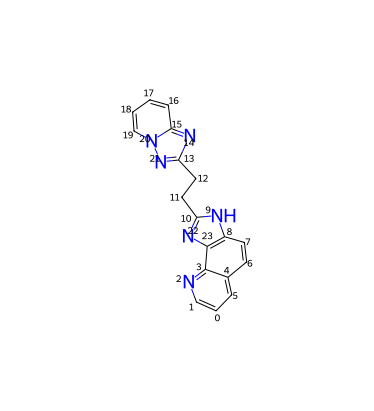 c1cnc2c(c1)ccc1[nH]c(CCc3nc4ccccn4n3)nc12